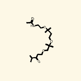 CC(=O)NCCOC(C)(C)CCOC(C)(C)COCCC(=O)C(C)C